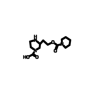 O=C(O)N1CCNC(CCOC(=O)N2CCCCC2)C1